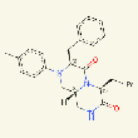 Cc1ccc(N2C[C@H]3CNC(=O)[C@H](CC(C)C)N3C(=O)[C@@H]2Cc2ccccc2)cc1